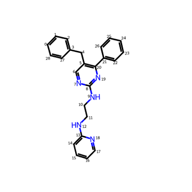 c1ccc(Cc2cnc(NCCNc3ccccn3)nc2-c2ccccc2)cc1